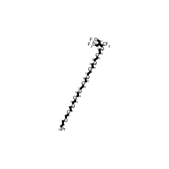 CC(C)CCCOCCOCCOCCOCCOCCOCCOCCOCCOCCOCCOC(=C(CC(F)(F)F)CC(F)(F)F)C(F)(F)F